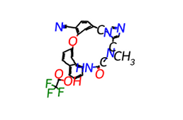 CN1CC(=O)Nc2cccc3ccc(cc23)Oc2cc(ccc2C#N)Cn2cncc2C1.O=C(O)C(F)(F)F